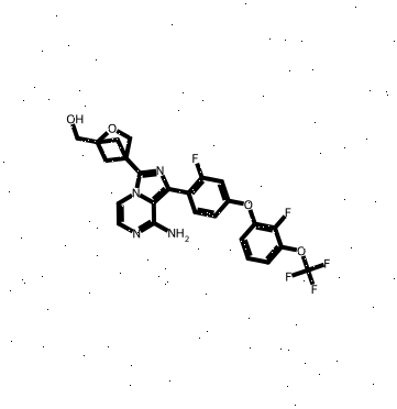 Nc1nccn2c(C34COC(CO)(C3)C4)nc(-c3ccc(Oc4cccc(OC(F)(F)F)c4F)cc3F)c12